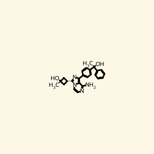 C[C@@](O)(c1ccccc1)c1ccc(-c2nc([C@H]3C[C@@](C)(O)C3)n3ccnc(N)c23)cc1